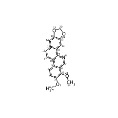 COc1ccc2c(cnc3c4cc5c(cc4ccc23)OCO5)c1OC